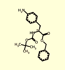 CC(C)(C)OC(=O)N[C@@H](Cc1ccc(N)cc1)C(=O)OCc1ccccc1